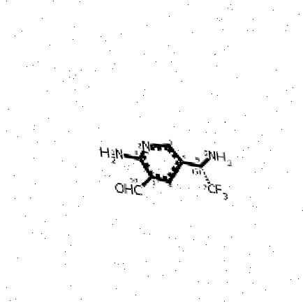 Nc1ncc([C@H](N)C(F)(F)F)cc1C=O